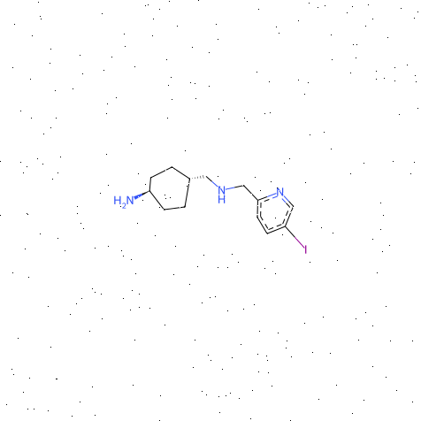 N[C@H]1CC[C@H](CNCc2ccc(I)cn2)CC1